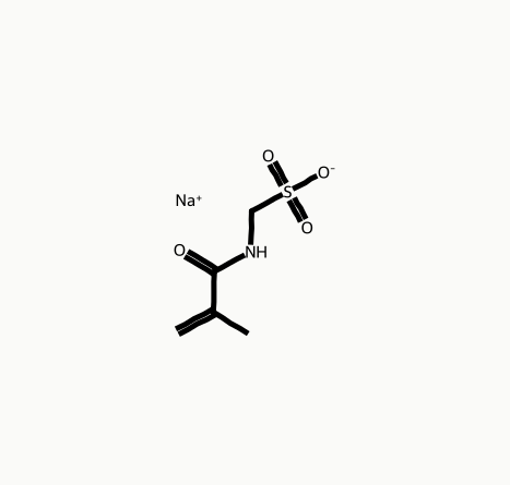 C=C(C)C(=O)NCS(=O)(=O)[O-].[Na+]